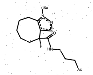 CCCCn1nnc2c1CCCCCC2(F)C(=O)NCCCC(C)=O